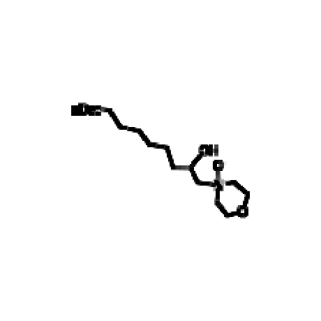 CCCCCCCCCCCCCCCCC(O)C[N+]1([O-])CCOCC1